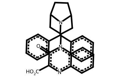 O=C(O)c1nc2ccccc2n(C2CC3CCC(C2)N3C(c2ccccc2)c2ccccc2)c1=O